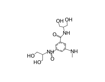 CNc1cc(C(=O)NC(CO)CO)cc(C(=O)NC(CO)CO)c1